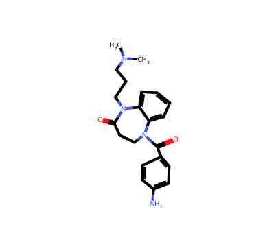 CN(C)CCCN1C(=O)CCN(C(=O)c2ccc(N)cc2)c2ccccc21